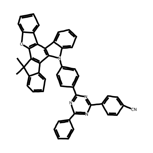 CC1(C)c2ccccc2-c2c1c1oc3ccccc3c1c1c3ccccc3n(-c3ccc(-c4nc(-c5ccccc5)nc(-c5ccc(C#N)cc5)n4)cc3)c21